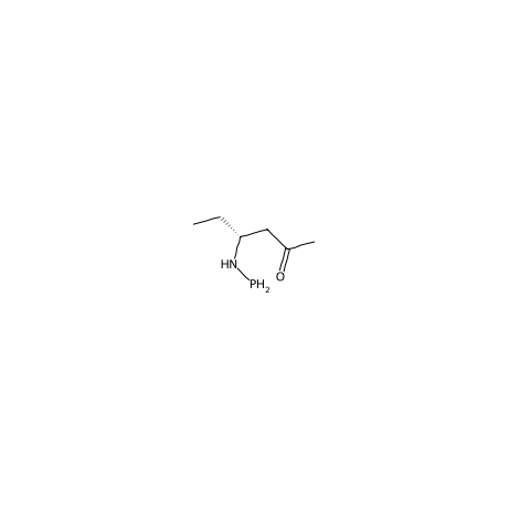 CC[C@H](CC(C)=O)NP